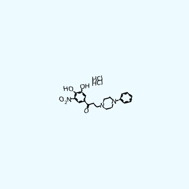 Cl.Cl.O=C(CCN1CCN(c2ccccc2)CC1)c1cc(O)c(O)c([N+](=O)[O-])c1